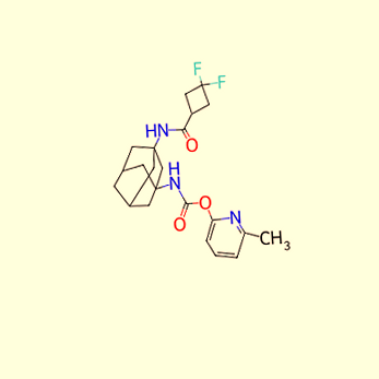 Cc1cccc(OC(=O)NC23CC4CC(C2)CC(NC(=O)C2CC(F)(F)C2)(C4)C3)n1